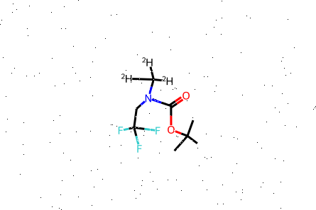 [2H]C([2H])([2H])N(CC(F)(F)F)C(=O)OC(C)(C)C